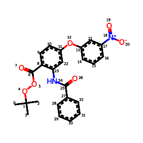 CC(C)(C)OOC(=O)c1ccc(Oc2cccc([N+](=O)[O-])c2)cc1NC(=O)c1ccccc1